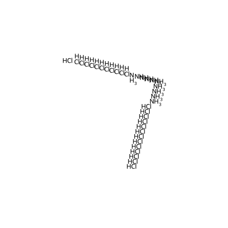 Cl.Cl.Cl.Cl.Cl.Cl.Cl.Cl.Cl.Cl.Cl.Cl.Cl.Cl.Cl.Cl.Cl.Cl.Cl.Cl.Cl.Cl.Cl.Cl.Cl.N.N.N.N.N.N.N.N.N.N